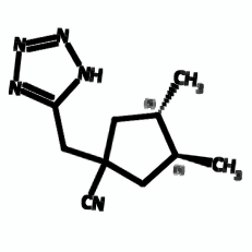 C[C@H]1CC(C#N)(Cc2nnn[nH]2)C[C@@H]1C